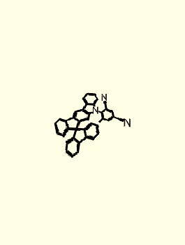 Cc1cc(C#N)cc(C#N)c1-n1c2ccccc2c2cc3c(cc21)C1(c2ccccc2-c2ccccc21)c1ccccc1-3